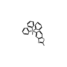 Cc1nc2cc([SH](C)(c3ccccc3)(c3ccccc3)c3ccccc3)ccc2s1